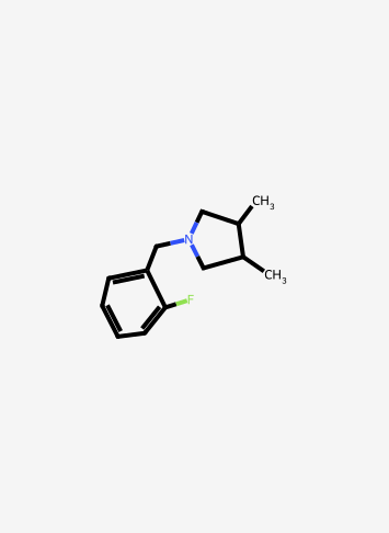 CC1CN(Cc2ccccc2F)CC1C